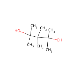 CC(C)(O)C(C)(C)C(C)(C)O